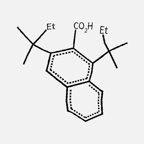 CCC(C)(C)c1cc2ccccc2c(C(C)(C)CC)c1C(=O)O